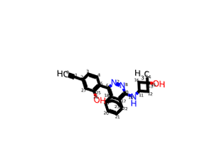 C#Cc1ccc(-c2nnc(NC3CC(C)(O)C3)c3c2C2C=CC3CC2)c(O)c1